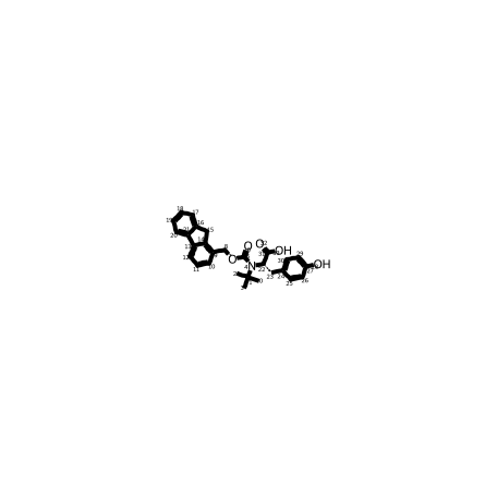 CC(C)(C)N(C(=O)OCc1cccc2c1Cc1ccccc1-2)[C@@H](Cc1ccc(O)cc1)C(=O)O